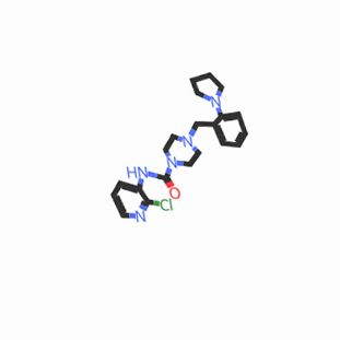 O=C(Nc1cccnc1Cl)N1CCN(Cc2ccccc2N2CCCC2)CC1